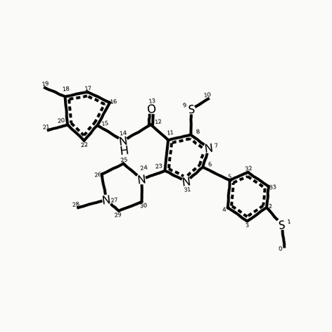 CSc1ccc(-c2nc(SC)c(C(=O)Nc3ccc(C)c(C)c3)c(N3CCN(C)CC3)n2)cc1